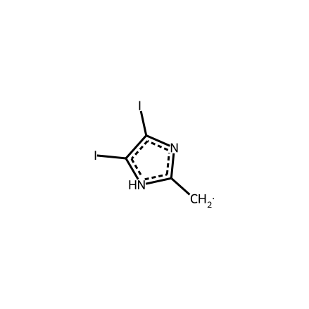 [CH2]c1nc(I)c(I)[nH]1